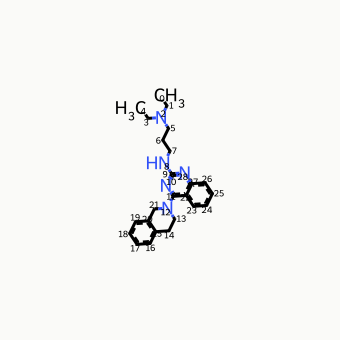 CCN(CC)CCCNc1nc(N2CCc3ccccc3C2)c2ccccc2n1